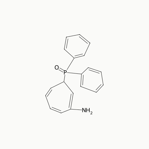 NC1=CC(P(=O)(c2ccccc2)c2ccccc2)C=CC=C1